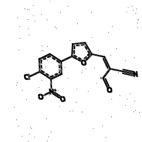 N#CC([C]=O)=Cc1ccc(-c2ccc(Cl)c([N+](=O)[O-])c2)o1